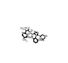 COc1cccc(OC)c1-n1c(NS(=O)(=O)C(C)C(C)c2ncc(C)cn2)nnc1[C@H]1CNCCO1